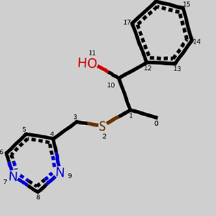 CC(SCc1ccncn1)C(O)c1ccccc1